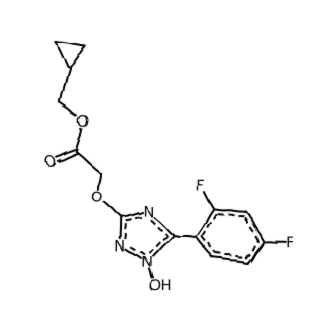 O=C(COc1nc(-c2ccc(F)cc2F)n(O)n1)OCC1CC1